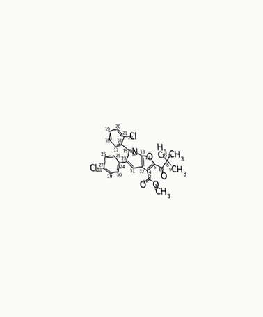 COC(=O)c1c(C(=O)C(C)(C)C)oc2nc(-c3ccccc3Cl)c(-c3ccc(Cl)cc3)cc12